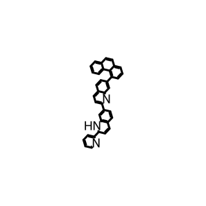 C1=CC(c2ccccn2)Nc2cc(-c3ccc4ccc(-c5cccc6ccc7ccccc7c56)cc4n3)ccc21